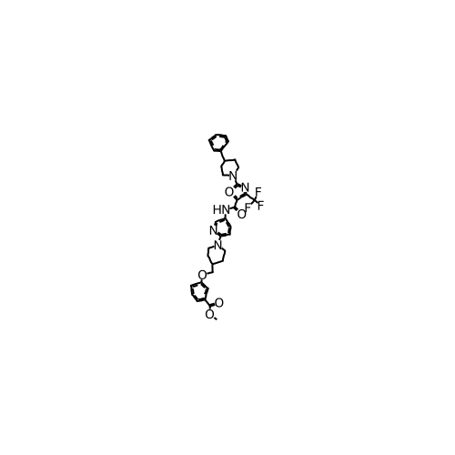 COC(=O)c1cccc(OCC2CCN(c3ccc(NC(=O)c4oc(N5CCC(c6ccccc6)CC5)nc4C(F)(F)F)cn3)CC2)c1